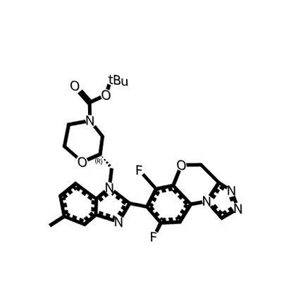 Cc1ccc2c(c1)nc(-c1c(F)cc3c(c1F)OCc1nncn1-3)n2C[C@H]1CN(C(=O)OC(C)(C)C)CCO1